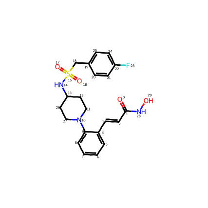 O=C(C=Cc1ccccc1N1CCC(NS(=O)(=O)Cc2ccc(F)cc2)CC1)NO